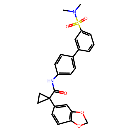 CN(C)S(=O)(=O)c1cccc(-c2ccc(NC(=O)C3(c4ccc5c(c4)OCO5)CC3)cc2)c1